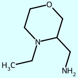 CCN1CCOCC1CN